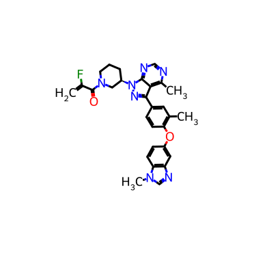 C=C(F)C(=O)N1CCC[C@@H](n2nc(-c3ccc(Oc4ccc5c(c4)ncn5C)c(C)c3)c3c(C)ncnc32)C1